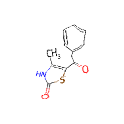 Cc1[nH]c(=O)sc1C(=O)c1ccccc1